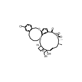 CC(C)C[C@@]1(O)/C=C/C[C@H](C)[C@@H](C)S(=O)(=O)NC(=O)c2ccc3c(c2)N(CCCCc2cc(Cl)ccc2CO3)C[C@@H]2CC[C@H]21